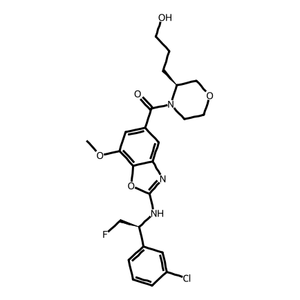 COc1cc(C(=O)N2CCOC[C@@H]2CCCO)cc2nc(N[C@H](CF)c3cccc(Cl)c3)oc12